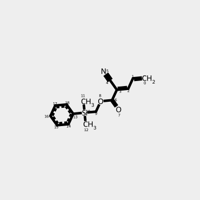 C=CC=C(C#N)C(=O)OC[Si](C)(C)c1ccccc1